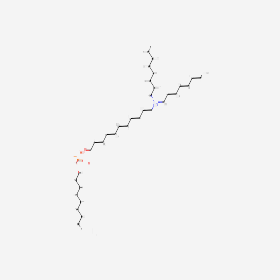 CCCCCCCCCOP(=O)(O)OCCCCCCCCCCCN(CCCCCCCC)CCCCCCCC